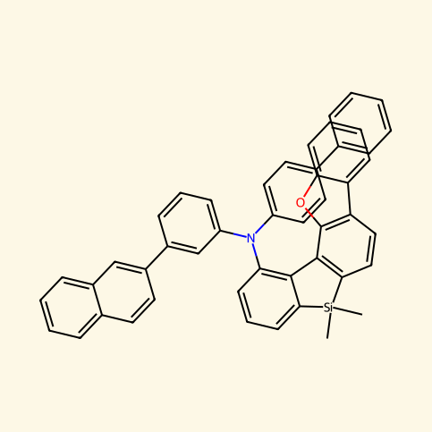 C[Si]1(C)c2cccc(N(c3ccc(-c4ccccc4)cc3)c3cccc(-c4ccc5ccccc5c4)c3)c2-c2c1ccc1c2oc2ccccc21